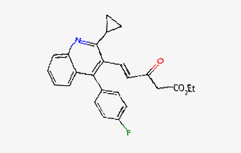 CCOC(=O)CC(=O)C=Cc1c(C2CC2)nc2ccccc2c1-c1ccc(F)cc1